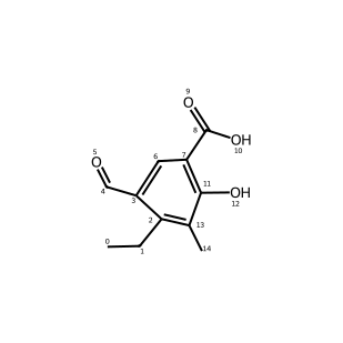 CCc1c(C=O)cc(C(=O)O)c(O)c1C